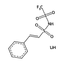 O=S(=O)(C=Cc1ccccc1)NS(=O)(=O)C(F)(F)F.[LiH]